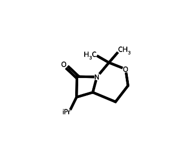 CC(C)C1C(=O)N2C1CCOC2(C)C